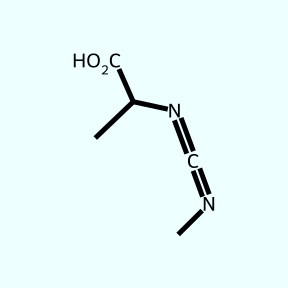 CN=C=NC(C)C(=O)O